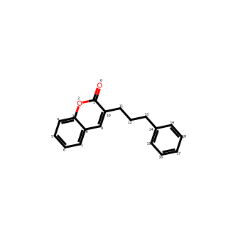 O=c1oc2ccccc2cc1CCCc1ccccc1